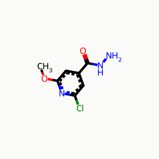 COc1cc(C(=O)NN)cc(Cl)n1